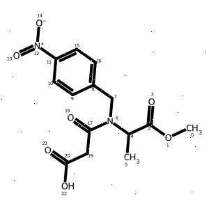 COC(=O)C(C)N(Cc1ccc([N+](=O)[O-])cc1)C(=O)CC(=O)O